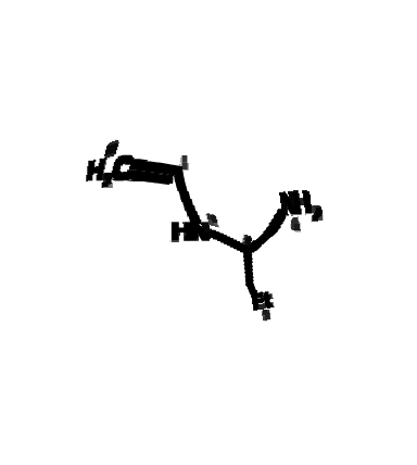 C=CNC(N)CC